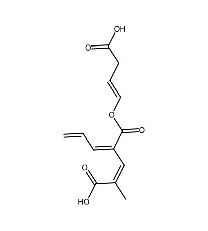 C=CC=C(C=C(C)C(=O)O)C(=O)OC=CCC(=O)O